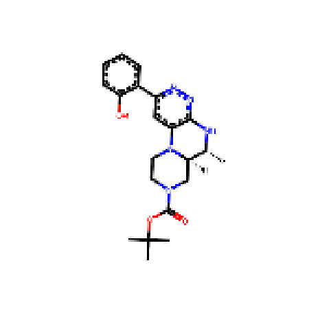 C[C@H]1Nc2nnc(-c3ccccc3O)cc2N2CCN(C(=O)OC(C)(C)C)C[C@H]12